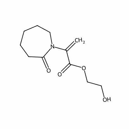 C=C(C(=O)OCCO)N1CCCCCC1=O